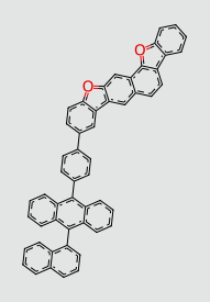 c1ccc2c(-c3c4ccccc4c(-c4ccc(-c5ccc6oc7cc8c(ccc9c%10ccccc%10oc89)cc7c6c5)cc4)c4ccccc34)cccc2c1